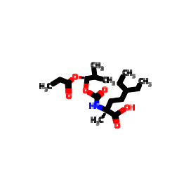 CCC(=O)O[C@@H](OC(=O)N[C@@](C)(CCC(CC)CC)C(=O)O)C(C)C